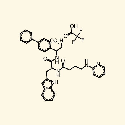 O=C(O)C(F)(F)F.O=C(O)CC(NC(=O)[C@H](Cc1cc2ccccc2[nH]1)NC(=O)CCCNc1ccccn1)c1ccc(-c2ccccc2)cc1